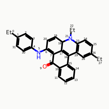 CCc1ccc(NC2=C3C(=O)c4ccccc4C4=C3C(C=C2)N(CC)c2ccc(CC)cc24)cc1